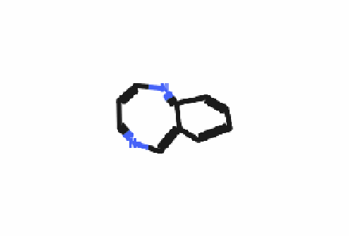 C1=CN=c2ccccc2=CN=C1